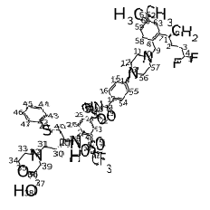 C=C(CCC(F)F)C1=C(CN2CCN(c3ccc(C(=O)NS(=O)(=O)c4ccc(N[C@H](CCN5CCO[C@@H](CO)C5)CSc5ccccc5)c(S(=O)(=O)C(F)(F)F)c4)cc3)CC2)CCC(C)(C)C1